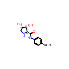 CCCCCCCCc1ccc(NC(=O)[C@H]2NC[C@H](O)[C@@H]2O)cc1